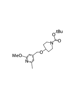 COc1cc(COC2CCN(C(=O)OC(C)(C)C)CC2)cc(C)n1